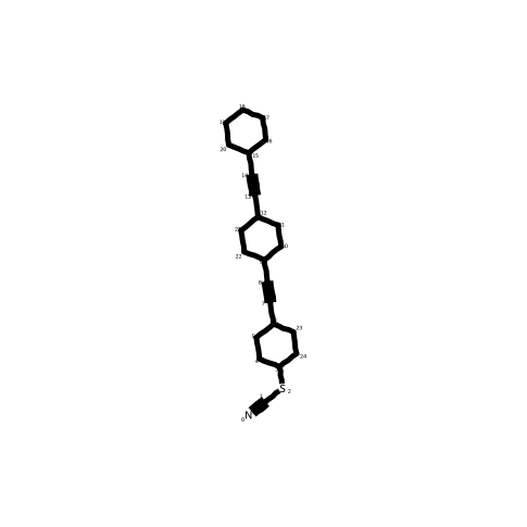 N#CSC1CCC(C#CC2CCC(C#CC3CCCCC3)CC2)CC1